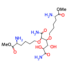 COC(=O)[C@@H](N)CCCCO[C@@H]([C@H](O)[C@H](O)C(N)=O)[C@@H](OCCCC[C@H](N)C(=O)OC)C(N)=O